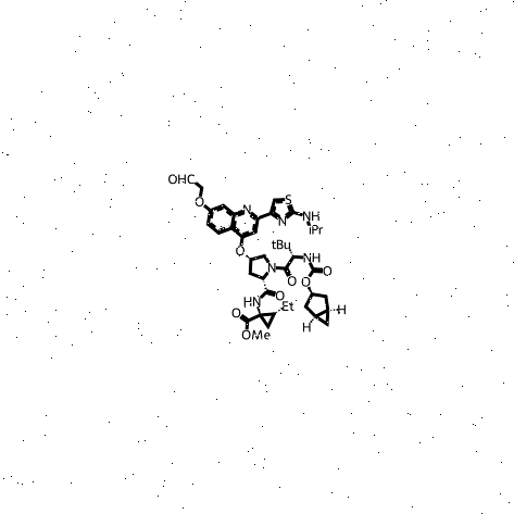 CC[C@@H]1C[C@]1(NC(=O)[C@@H]1C[C@H](Oc2cc(-c3csc(NC(C)C)n3)nc3cc(OCC=O)ccc23)CN1C(=O)[C@@H](NC(=O)O[C@@H]1C[C@@H]2C[C@@H]2C1)C(C)(C)C)C(=O)OC